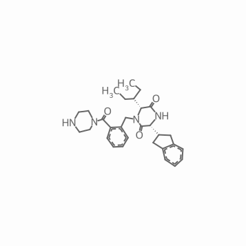 CCC(CC)[C@@H]1C(=O)N[C@H](C2Cc3ccccc3C2)C(=O)N1Cc1ccccc1C(=O)N1CCNCC1